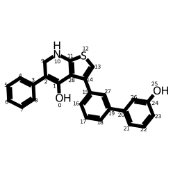 OC1=C(c2ccccc2)CNc2scc(-c3cccc(-c4cccc(O)c4)c3)c21